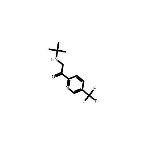 CC(C)(C)NCC(=O)c1ccc(C(F)(F)F)cn1